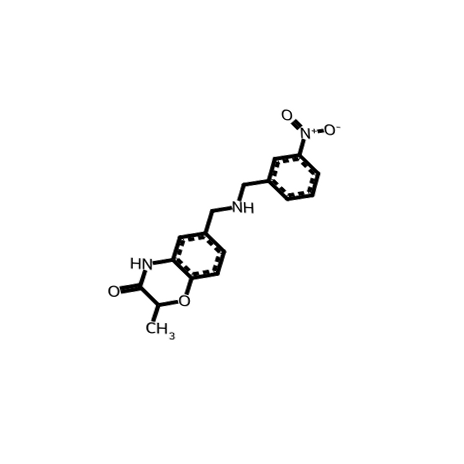 CC1Oc2ccc(CNCc3cccc([N+](=O)[O-])c3)cc2NC1=O